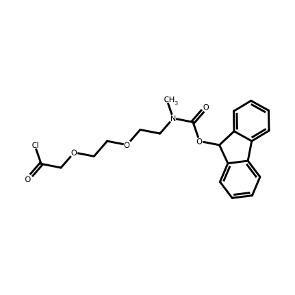 CN(CCOCCOCC(=O)Cl)C(=O)OC1c2ccccc2-c2ccccc21